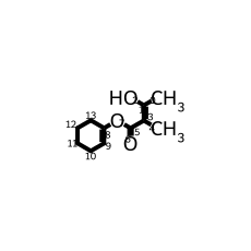 CC(O)=C(C)C(=O)OC1=CCCCC1